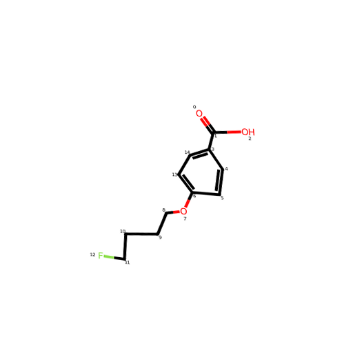 O=C(O)c1ccc(OCCCCF)cc1